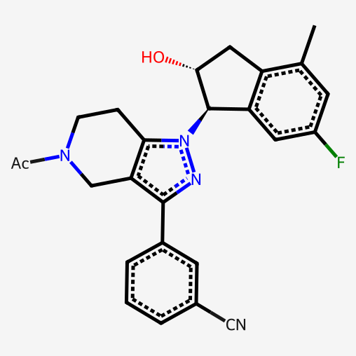 CC(=O)N1CCc2c(c(-c3cccc(C#N)c3)nn2[C@@H]2c3cc(F)cc(C)c3C[C@H]2O)C1